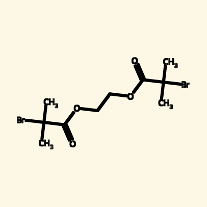 CC(C)(Br)C(=O)OCCOC(=O)C(C)(C)Br